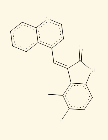 Cc1c(Br)ccc2c1C(=Cc1ccnc3ccccc13)C(=O)N2